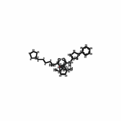 O=C(NCCCCN1CCCC1)[C@H]1[C@H](C(=O)NC2=NCN(c3ccccc3)S2)[C@@H]2C=C[C@H]1C21CC1